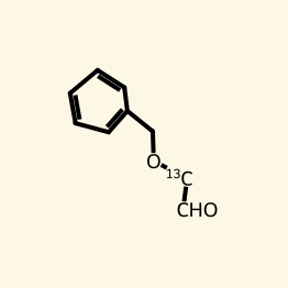 O=[13CH][13CH2]OCc1ccccc1